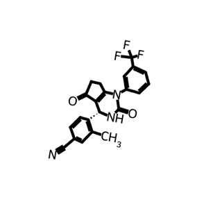 Cc1cc(C#N)ccc1[C@H]1NC(=O)N(c2cccc(C(F)(F)F)c2)C2=C1C(=O)CC2